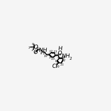 CC(C)(C)OC(=O)NCCCc1ccc(C(O)c2cc(Cl)ccc2N)cc1